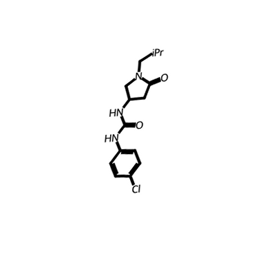 CC(C)CN1CC(NC(=O)Nc2ccc(Cl)cc2)CC1=O